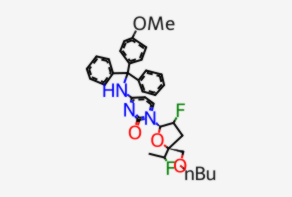 CCCCOC[C@]1(C(C)F)CC(F)[C@H](n2ccc(NC(c3ccccc3)(c3ccccc3)c3ccc(OC)cc3)nc2=O)O1